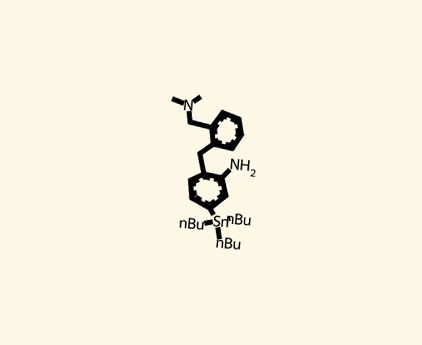 CCC[CH2][Sn]([CH2]CCC)([CH2]CCC)[c]1ccc(Cc2ccccc2CN(C)C)c(N)c1